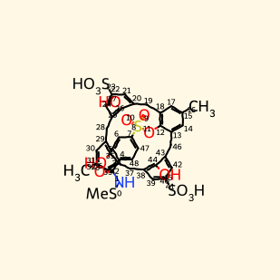 CSNC(=O)c1ccc(S(=O)(=O)Oc2c3cc(C)cc2Cc2cc(S(=O)(=O)O)cc(c2O)Cc2cc(C)cc(c2O)Cc2cc(S(=O)(=O)O)cc(c2O)C3)cc1